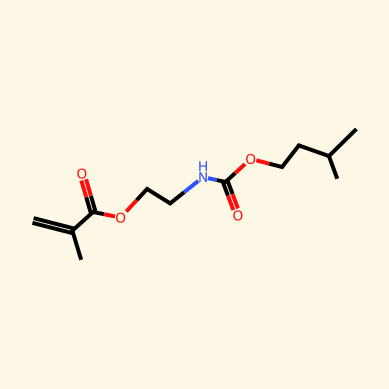 C=C(C)C(=O)OCCNC(=O)OCCC(C)C